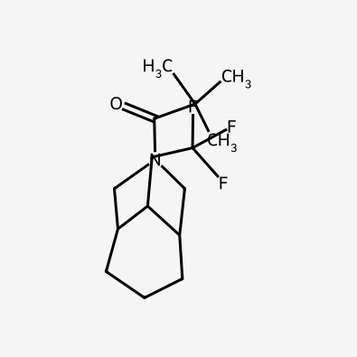 CC(C)(C)C(=O)N1CC2CCCC(C1)C2CC(F)(F)F